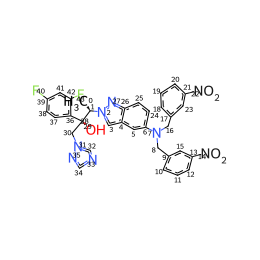 C[C@@H](n1cc2cc(N(Cc3cccc([N+](=O)[O-])c3)Cc3cccc([N+](=O)[O-])c3)ccc2n1)[C@](O)(Cn1cncn1)c1ccc(F)cc1F